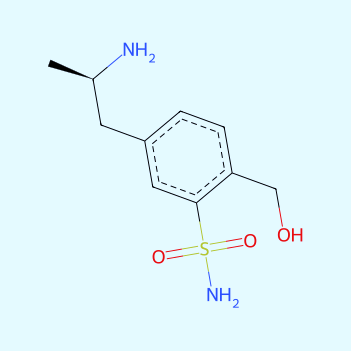 C[C@@H](N)Cc1ccc(CO)c(S(N)(=O)=O)c1